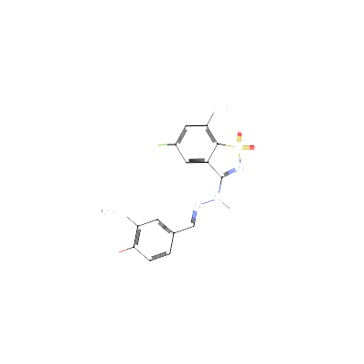 COc1cc(C=NN(C)C2=NS(=O)(=O)c3c(C)cc(F)cc32)ccc1O